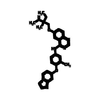 CCC(C)(COc1ccc2ncnc(Nc3ccc(Oc4ccn5ccnc5c4)c(C)c3)c2c1)NC